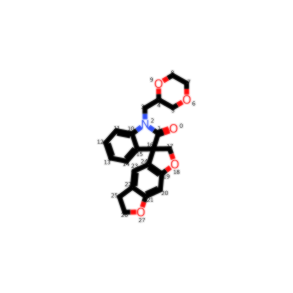 O=C1N(CC2COCCO2)c2ccccc2C12COc1cc3c(cc12)CCO3